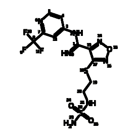 N=C(Nc1ccnc(C(F)(F)F)c1)c1nonc1SCCNS(N)(=O)=O